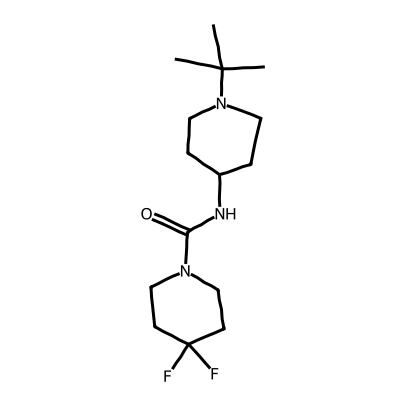 CC(C)(C)N1CCC(NC(=O)N2CCC(F)(F)CC2)CC1